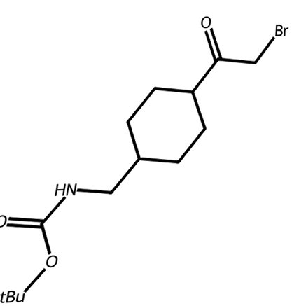 CC(C)(C)OC(=O)NCC1CCC(C(=O)CBr)CC1